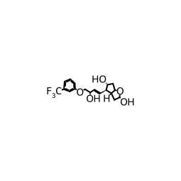 O[C@H](/C=C/[C@H]1[C@H](O)CC2O[C@H](O)C[C@@H]21)COc1cccc(C(F)(F)F)c1